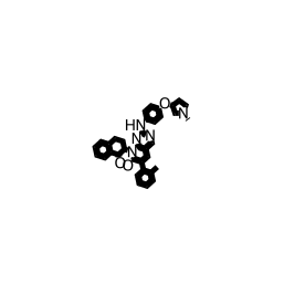 Cc1ccccc1-c1cc2cnc(Nc3ccc(OC4CCN(C)C4)cc3)nc2n(C2CCc3ccccc3C2=O)c1=O